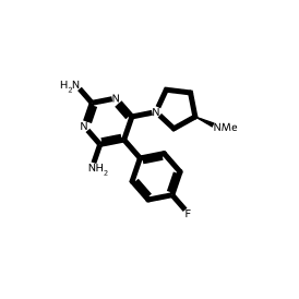 CN[C@@H]1CCN(c2nc(N)nc(N)c2-c2ccc(F)cc2)C1